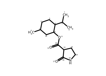 CC1CCC(C(C)C)C(OC(=O)C2CCNC2=O)C1